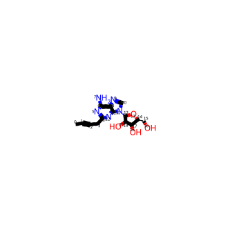 CC#CCc1nc(N)c2ncn([C@@H]3O[C@H](CO)C(O)C3O)c2n1